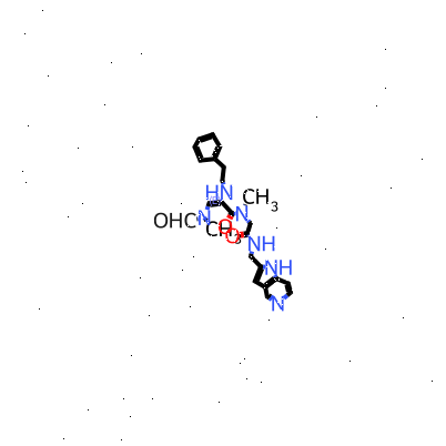 CN(C=O)/C=C(/NCCc1ccccc1)C(=O)N(C)CC(=O)NCc1cc2cnccc2[nH]1